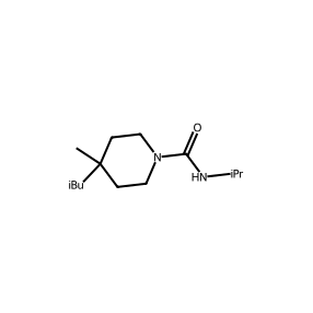 CCC(C)C1(C)CCN(C(=O)NC(C)C)CC1